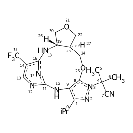 CC(C)c1nn(C(C)(C)C#N)c2c1Nc1ncc(C(F)(F)F)c(n1)N[C@@H]1COC[C@H]1CO2